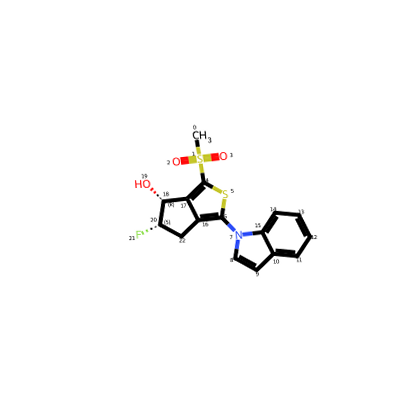 CS(=O)(=O)c1sc(-n2ccc3ccccc32)c2c1[C@@H](O)[C@@H](F)C2